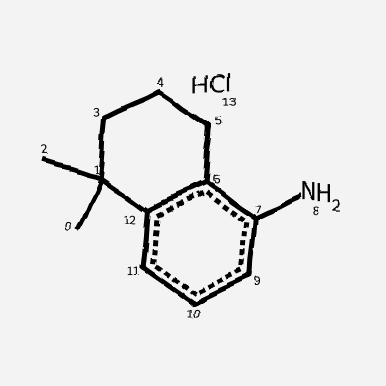 CC1(C)CCCc2c(N)cccc21.Cl